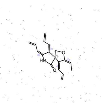 C=C/C=C1\C(=C/C=C)NC(=O)[C@@]12COC(=C/C)/C2=C\C=C